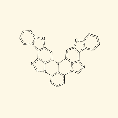 c1cc2c3c(c1)-n1cnc4c5c(cc(c41)B3c1cc3oc4ccccc4c3c3ncn-2c13)oc1ccccc15